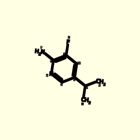 CC(C)c1cnc(N)c(F)c1